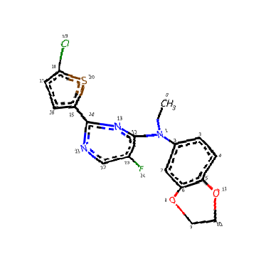 CN(c1ccc2c(c1)OCCO2)c1nc(-c2ccc(Cl)s2)ncc1F